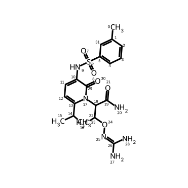 Cc1cccc(S(=O)(=O)Nc2ccc(C(C)C)n(C(C(N)=O)C(C)ON=C(N)N)c2=O)c1